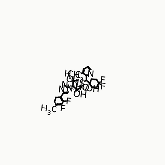 CO[C@H]1C[SH](C(c2ncccc2C)C2(O)CCC(F)(F)CC2)[C@H](CO)[C@H](O)[C@@H]1n1cc(-c2ccc(C)c(F)c2F)nn1